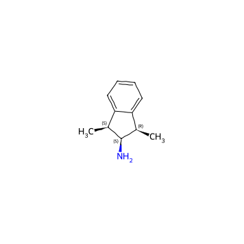 C[C@@H]1c2ccccc2[C@H](C)[C@@H]1N